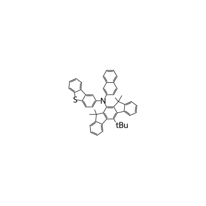 CC(C)(C)c1c2c(c(N(c3ccc4ccccc4c3)c3ccc4sc5ccccc5c4c3)c3c1-c1ccccc1C3(C)C)C(C)(C)c1ccccc1-2